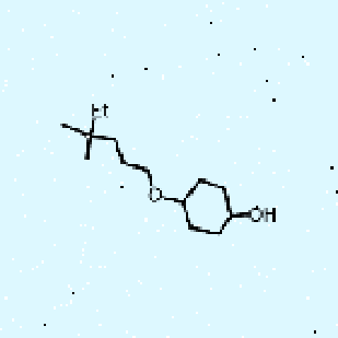 CCC(C)(C)CCCOC1CCC(O)CC1